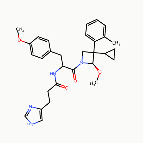 COc1ccc(CC(NC(=O)CCc2c[nH]cn2)C(=O)N2CC(c3ccccc3C)(C3CC3)[C@H]2OC)cc1